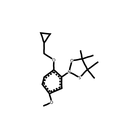 COc1ccc(OCC2CC2)c(N2OC(C)(C)C(C)(C)S2)c1